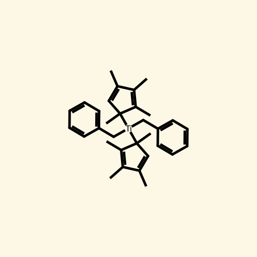 CC1=C[C](C)([Ti]([CH2]c2ccccc2)([CH2]c2ccccc2)[C]2(C)C=C(C)C(C)=C2C)C(C)=C1C